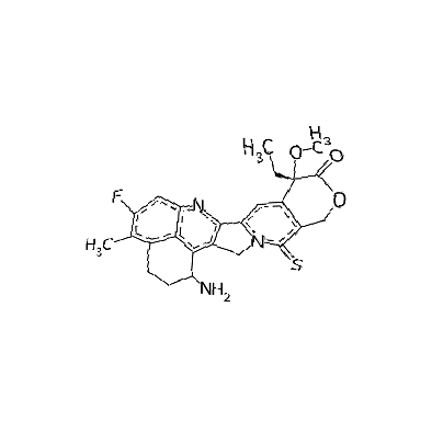 CC[C@@]1(OC)C(=O)OCc2c1cc1n(c2=S)Cc2c-1nc1cc(F)c(C)c3c1c2C(N)CC3